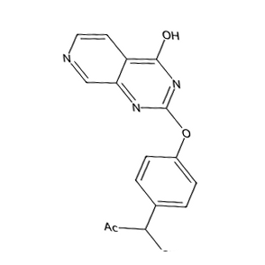 CC(=O)C(C)c1ccc(Oc2nc(O)c3ccncc3n2)cc1